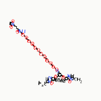 C=C1C[C@H]2C=Nc3cc(OCc4cc(/C=N/OCCOCCOCCOCCOCCOCCOCCOCCOCCOCCOCCOCCNC(=O)CCCCCN5C(=O)C=CC5=O)cc(COc5cc6c(cc5OC)C(=O)N5CC(C)C[C@H]5C=N6)c4)c(OC)cc3C(=O)N2C1